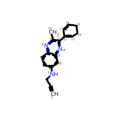 C#CCNc1ccc2nc(C)c(C3=CCCC=C3)nc2c1